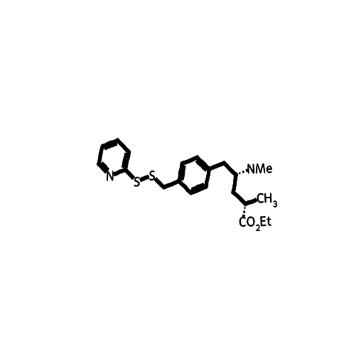 CCOC(=O)[C@@H](C)C[C@H](Cc1ccc(CSSc2ccccn2)cc1)NC